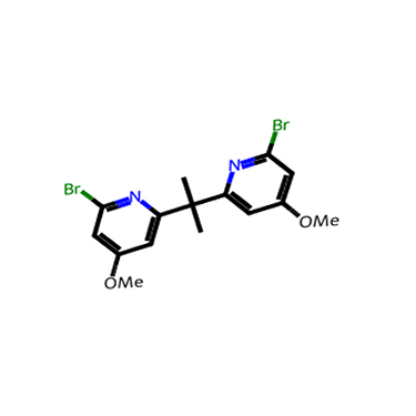 COc1cc(Br)nc(C(C)(C)c2cc(OC)cc(Br)n2)c1